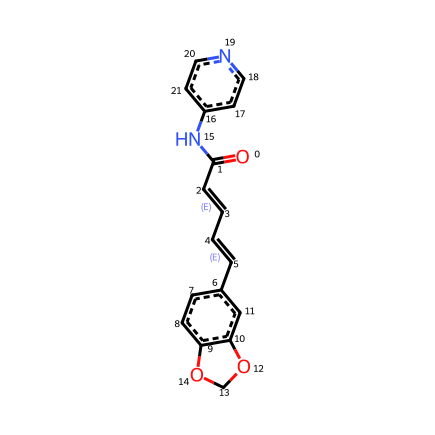 O=C(/C=C/C=C/c1ccc2c(c1)OCO2)Nc1ccncc1